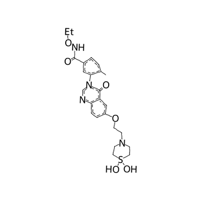 CCONC(=O)c1ccc(C)c(-n2cnc3ccc(OCCN4CCS(O)(O)CC4)cc3c2=O)c1